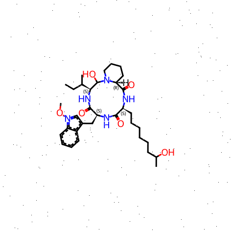 CCC(C)[C@@H]1NC(=O)[C@H](Cc2cn(OC)c3ccccc23)NC(=O)[C@H](CCCCCCC(C)O)NC(=O)[C@H]2CCCCN2C1O